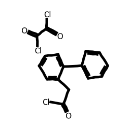 O=C(Cl)C(=O)Cl.O=C(Cl)Cc1ccccc1-c1ccccc1